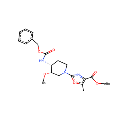 CCCCOC(=O)c1nc(N2CC[C@@H](NC(=O)OCc3ccccc3)[C@@H](OCC)C2)oc1C